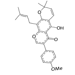 COc1ccc(-c2coc3c(CC=C(C)C)c4c(c(O)c3c2=O)C=CC(C)(C)O4)cc1